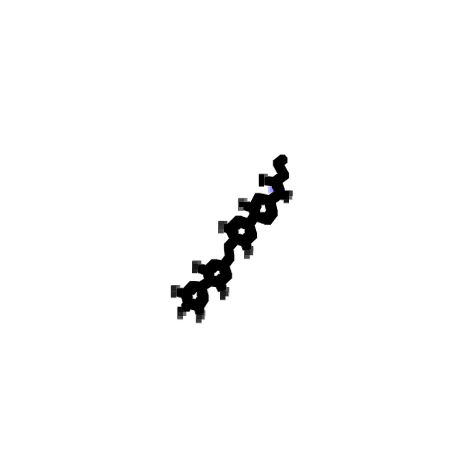 CCC/C(F)=C(\F)c1ccc(-c2cc(F)c(CCc3cc(F)c(-c4cc(F)c(F)c(F)c4)c(F)c3)c(F)c2)c(F)c1